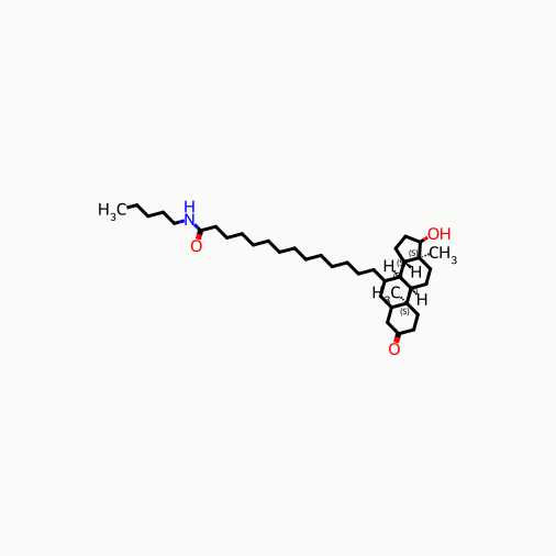 CCCCCNC(=O)CCCCCCCCCCCCCC1CC2CC(=O)CC[C@]2(C)[C@@H]2CC[C@]3(C)C(O)CC[C@H]3[C@H]12